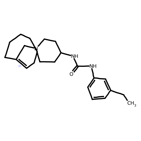 CCc1cccc(NC(=O)NC2CCN(C/C3=C\CCCCCC3)CC2)c1